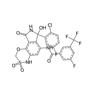 O=C(Nc1cc2c(c3c1C(O)(c1cc(F)ccc1Cl)NC3=O)OCS(=O)(=O)N2)c1cc(F)cc(C(F)(F)F)c1